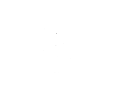 COc1cc(CC(=O)c2ccccc2Cl)ccc1Cl